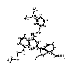 Cc1cc2c(CN)cccc2n1-c1nc(NCc2cccc(B(O)O)c2)c2cccc(OCCN)c2n1